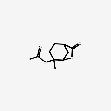 CC(=O)OC1(C)CCC2CC1OC2=O